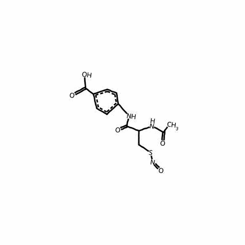 CC(=O)NC(CSN=O)C(=O)Nc1ccc(C(=O)O)cc1